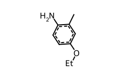 CCOc1ccc(N)c(C)c1